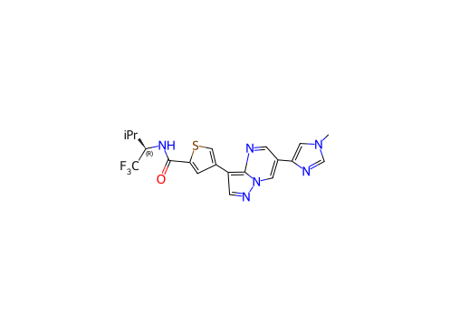 CC(C)[C@@H](NC(=O)c1cc(-c2cnn3cc(-c4cn(C)cn4)cnc23)cs1)C(F)(F)F